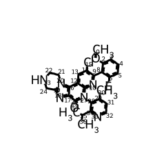 COc1cccc(F)c1-c1nc2c(cc1Cl)c1c(nc3n1CCNC3)c(=O)n2-c1c(C)ccnc1C(C)C